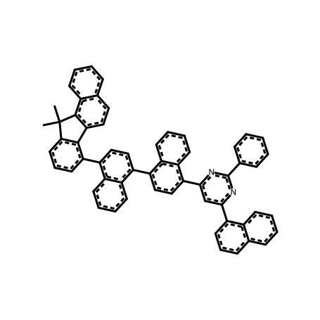 CC1(C)c2cccc(-c3ccc(-c4ccc(-c5cc(-c6cccc7ccccc67)nc(-c6ccccc6)n5)c5ccccc45)c4ccccc34)c2-c2ccc3ccccc3c21